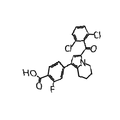 O=C(O)c1ccc(-c2cc(C(=O)c3c(Cl)cccc3Cl)n3c2CCCC3)cc1F